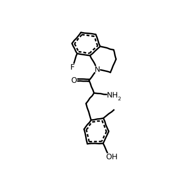 Cc1cc(O)ccc1CC(N)C(=O)N1CCCc2cccc(F)c21